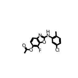 CC(=O)Oc1ccc2nc(Nc3cc(Cl)ccc3C)oc2c1F